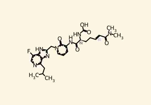 CC(C)Cc1ncc(F)c2[nH]c(Cn3cccc(NC(=O)[C@H](CC/C=C/C(=O)N(C)C)NC(=O)O)c3=O)nc12